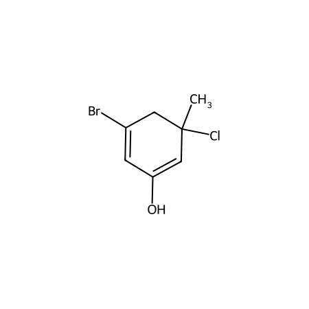 CC1(Cl)C=C(O)C=C(Br)C1